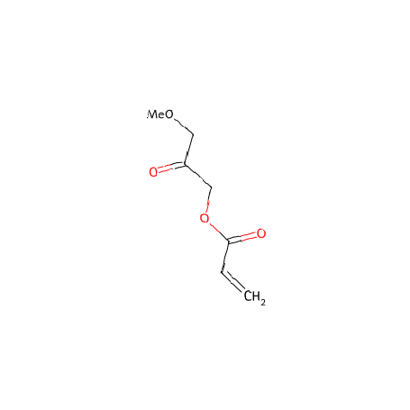 C=CC(=O)OCC(=O)COC